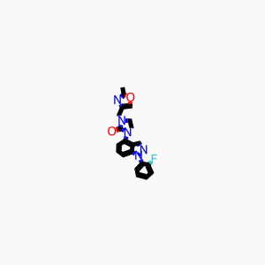 Cc1nc(CN2CCN(c3cccc4c3cnn4-c3ccccc3F)C2=O)co1